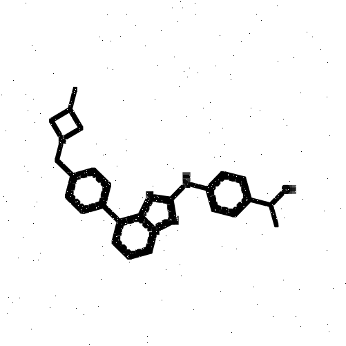 CC1CN(Cc2ccc(-c3cccn4nc(Nc5ccc(C(C)O)cc5)nc34)cc2)C1